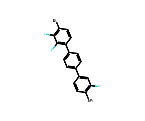 CCCc1ccc(-c2ccc(-c3ccc(CC)c(F)c3F)cc2)cc1F